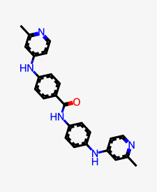 Cc1cc(Nc2ccc(NC(=O)c3ccc(Nc4ccnc(C)c4)cc3)cc2)ccn1